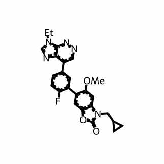 CCn1cnc2c(-c3ccc(F)c(-c4cc5oc(=O)n(CC6CC6)c5cc4OC)c3)cnnc21